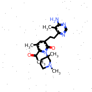 CC(=O)c1c(C)cc(CCc2ncnc(N)c2C)c(=O)n1C1(C)CCCN(C)C1